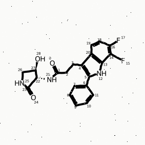 O=C(CCc1c(-c2ccccc2)[nH]c2c(F)c(F)ccc12)N[C@@H]1C(=O)NC[C@H]1O